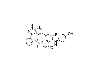 CN(C)C(=O)c1cc(-c2cnc3[nH]nc(-c4ccccc4OC(F)F)c3c2)cc(F)c1N[C@H]1CC[C@H](O)CC1